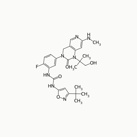 CNc1cc2c(cn1)CN(c1ccc(F)c(NC(=O)Nc3cc(C(C)(C)C)no3)c1)C(=O)N2C(C)(C)CO